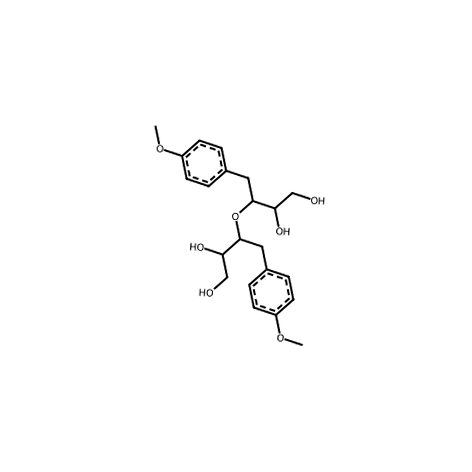 COc1ccc(CC(OC(Cc2ccc(OC)cc2)C(O)CO)C(O)CO)cc1